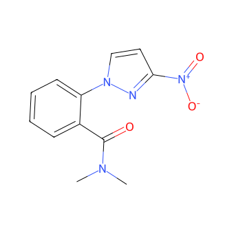 CN(C)C(=O)c1ccccc1-n1ccc([N+](=O)[O-])n1